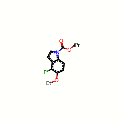 CCOc1ccc2c(ccn2C(=O)OC(C)C)c1F